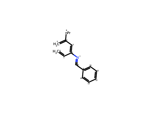 C=CC(=C\C(=C)CCC)/N=C/c1ccccc1